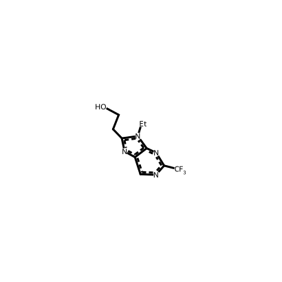 CCn1c(CCO)nc2cnc(C(F)(F)F)nc21